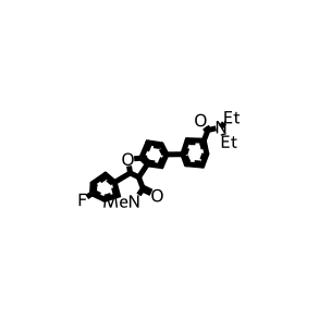 CCN(CC)C(=O)c1cccc(-c2ccc3c(c2)C(C(=O)NC)C(c2ccc(F)cc2)O3)c1